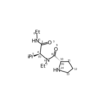 CCNC(=O)[C@H](C(C)C)N(CC)C(=O)[C@@H]1CCCN1